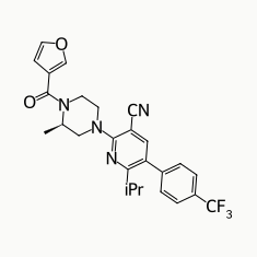 CC(C)c1nc(N2CCN(C(=O)c3ccoc3)[C@H](C)C2)c(C#N)cc1-c1ccc(C(F)(F)F)cc1